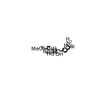 CON=c1nc[nH]c2c1ccn2[C@@H]1O[C@H](CCc2ccc3cc(Br)c(N)nc3c2)[C@@H](O)[C@H]1O